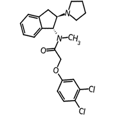 CN(C(=O)COc1ccc(Cl)c(Cl)c1)[C@@H]1c2ccccc2C[C@H]1N1CCCC1